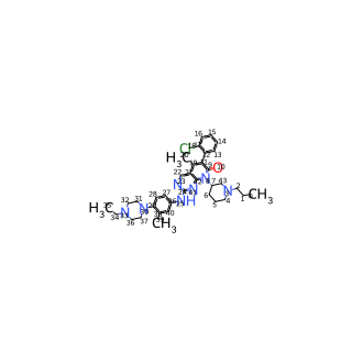 CCCN1CCC[C@H](n2c(=O)c(-c3ccccc3Cl)c(C)c3cnc(Nc4ccc(N5CCN(CC)CC5)c(C)c4)nc32)C1